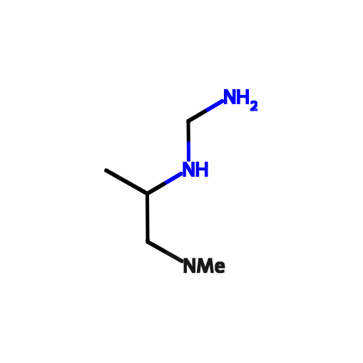 CNCC(C)NCN